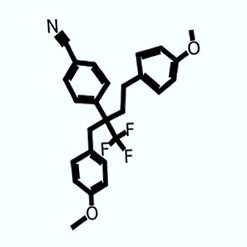 COc1ccc(CCC(Cc2ccc(OC)cc2)(c2ccc(C#N)cc2)C(F)(F)F)cc1